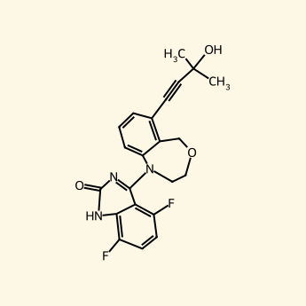 CC(C)(O)C#Cc1cccc2c1COCCN2c1nc(=O)[nH]c2c(F)ccc(F)c12